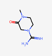 CN1CCN(C(=N)N)CC1=O